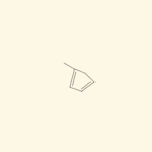 CC1=CC=[C]C1